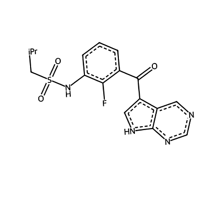 CC(C)CS(=O)(=O)Nc1cccc(C(=O)c2c[nH]c3ncncc23)c1F